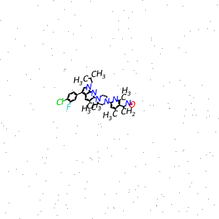 C=C(N=O)c1c(C)cc(N2CCN(c3nc4c(cc3C)c(-c3ccc(Cl)c(F)c3)cn4CC(C)C)C(C)C2)nc1C